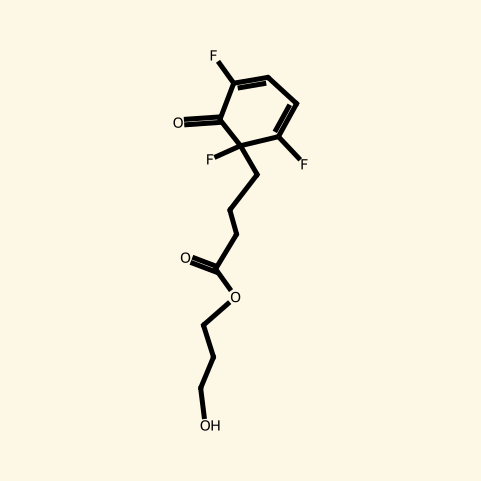 O=C(CCCC1(F)C(=O)C(F)=CC=C1F)OCCCO